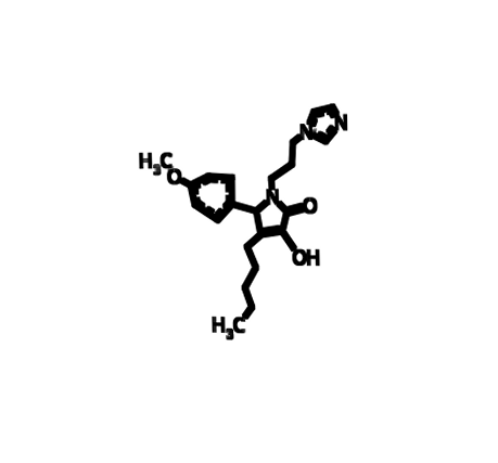 CCCCCC1=C(O)C(=O)N(CCCn2ccnc2)C1c1ccc(OC)cc1